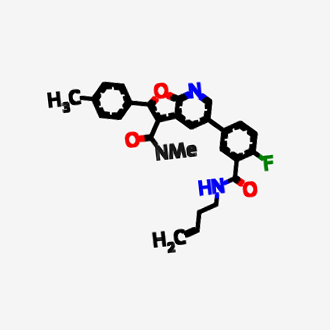 C=CCCNC(=O)c1cc(-c2cnc3oc(-c4ccc(C)cc4)c(C(=O)NC)c3c2)ccc1F